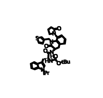 CC(C)n1cc(C[C@@H](NC(=O)OC(C)(C)C)C(=O)NC2Cc3cccc(N4CCCC4=O)c3N(Cc3ccsc3)C2=O)c2ccccc21